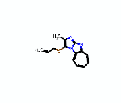 C=CCSc1c(C)nc2nc3cccccc3n12